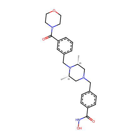 C[C@@H]1CN(Cc2ccc(C(=O)NO)cc2)C[C@H](C)N1Cc1cccc(C(=O)N2CCOCC2)c1